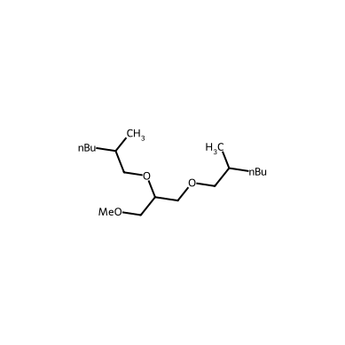 CCCCC(C)COCC(COC)OCC(C)CCCC